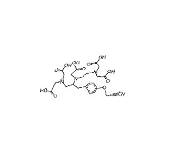 C#CCOc1ccc(CC(CN(CC(=O)O)CC(=O)O)N(CCN(CC(=O)O)CC(=O)O)CC(=O)O)cc1